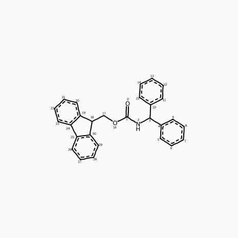 O=C(NC(c1ccccc1)c1ccccc1)OCC1c2ccccc2-c2ccccc21